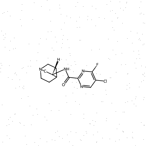 O=C(N[C@H]1CN2CCC1CC2)c1ncc(Cl)c(F)n1